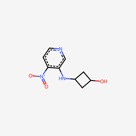 O=[N+]([O-])c1ccncc1NC1CC(O)C1